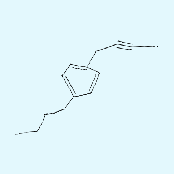 [CH2]C#CCc1ccc(CCCC)cc1